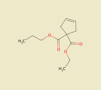 CCCOC(=O)C1(C(=O)OCC)CC=CC1